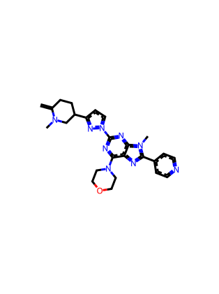 C=C1CCC(c2ccn(-c3nc(N4CCOCC4)c4nc(-c5ccncc5)n(C)c4n3)n2)CN1C